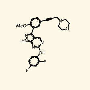 COc1ccc(C#CCN2CCOCC2)cc1-c1n[nH]c2nc(Nc3ccc(F)cc3F)ncc12